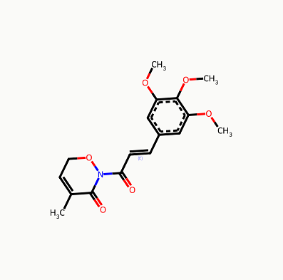 COc1cc(/C=C/C(=O)N2OCC=C(C)C2=O)cc(OC)c1OC